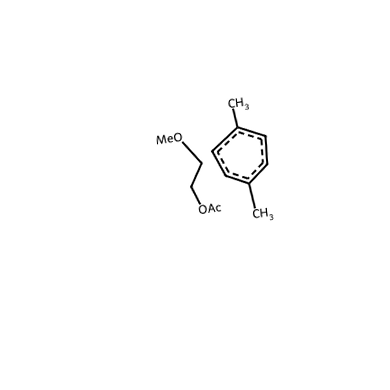 COCCOC(C)=O.Cc1ccc(C)cc1